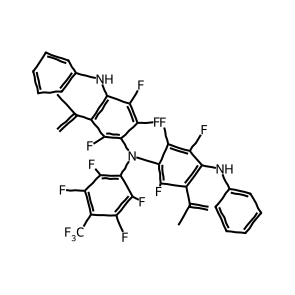 C=C(C)c1c(F)c(N(c2c(F)c(F)c(C(F)(F)F)c(F)c2F)c2c(F)c(F)c(Nc3ccccc3)c(C(=C)C)c2F)c(F)c(F)c1Nc1ccccc1